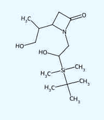 CC(CO)C1CC(=O)N1CC(O)[Si](C)(C)C(C)(C)C